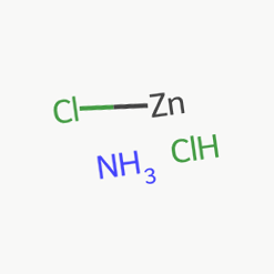 Cl.N.[Cl][Zn]